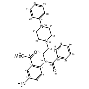 COC(=O)c1cc(N)ccc1N(CCN1CCN(c2ccccc2)CC1)C(=O)c1ccccn1